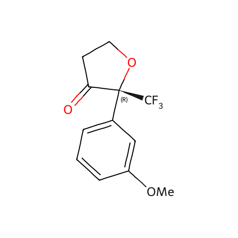 COc1cccc([C@@]2(C(F)(F)F)OCCC2=O)c1